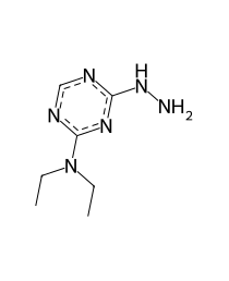 CCN(CC)c1ncnc(NN)n1